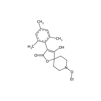 CCON1CCC2(CC1)OC(=O)C(c1c(C)cc(C)cc1C)=C2O